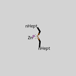 CCCCCCCCSCCCCCCCC.[P].[Zn]